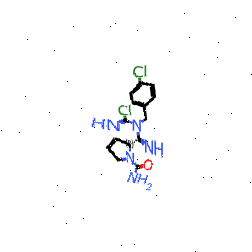 N=C(Cl)N(Cc1ccc(Cl)cc1)C(=N)[C@H]1CCCN1C(N)=O